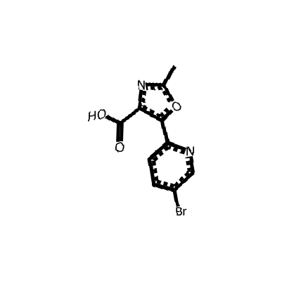 Cc1nc(C(=O)O)c(-c2ccc(Br)cn2)o1